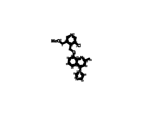 COCc1cncc(Cl)c1COc1cccc2c(-n3ccnc3)cc(C)nc12